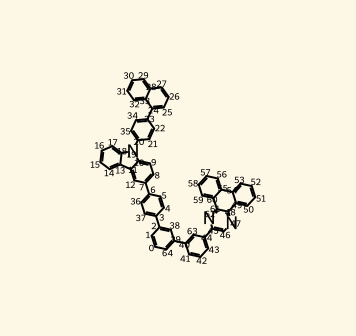 c1cc(-c2ccc(-c3ccc4c(c3)c3ccccc3n4-c3ccc(-c4cccc5ccccc45)cc3)cc2)cc(-c2cccc(-c3cnc4c5ccccc5c5ccccc5c4n3)c2)c1